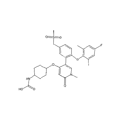 Cc1cc(F)cc(C)c1Oc1ccc(CS(C)(=O)=O)cc1-c1cn(C)c(=O)cc1OC1CCC(NC(=O)O)CC1